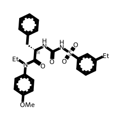 CCc1cccc(S(=O)(=O)NC(=O)N[C@@H](Cc2ccccc2)C(=O)N(CC)c2ccc(OC)cc2)c1